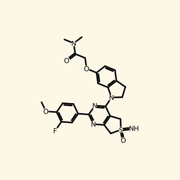 COc1ccc(-c2nc3c(c(N4CCc5ccc(OCC(=O)N(C)C)cc54)n2)CS(=N)(=O)C3)cc1F